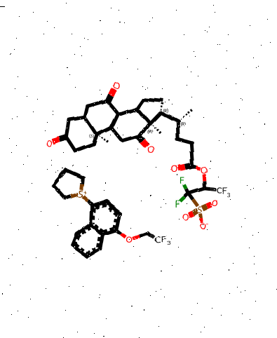 C[C@H](CCC(=O)OC(C(F)(F)F)C(F)(F)S(=O)(=O)[O-])[C@H]1CCC2C3C(=O)CC4CC(=O)CC[C@]4(C)C3CC(=O)[C@@]21C.FC(F)(F)COc1ccc([S+]2CCCC2)c2ccccc12